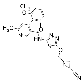 COc1cccc(F)c1-c1cc(C)ncc1C(=O)Nc1nnc(OCC23CC(C#N)(C2)C3)s1